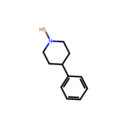 SN1CCC(c2ccccc2)CC1